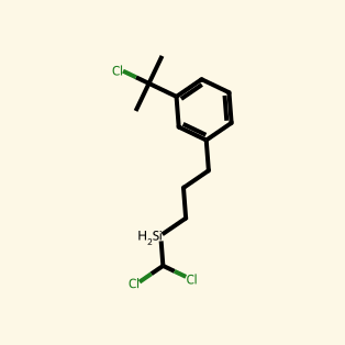 CC(C)(Cl)c1cccc(CCC[SiH2]C(Cl)Cl)c1